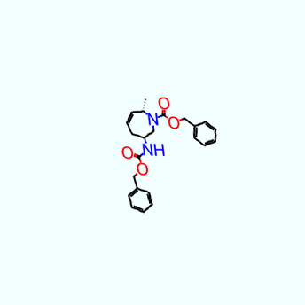 C[C@H]1C=CC[C@H](NC(=O)OCc2ccccc2)CN1C(=O)OCc1ccccc1